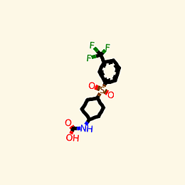 O=C(O)NC1CCC(S(=O)(=O)c2cccc(C(F)(F)F)c2)CC1